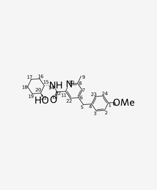 COc1ccc(Cc2cc(C)nc(C(=O)N[C@H]3CCCC[C@@H]3O)c2)cc1